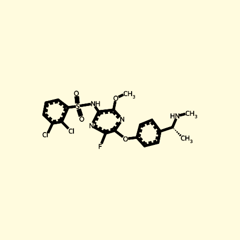 CN[C@H](C)c1ccc(Oc2nc(OC)c(NS(=O)(=O)c3cccc(Cl)c3Cl)nc2F)cc1